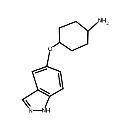 NC1CCC(Oc2ccc3[nH]ncc3c2)CC1